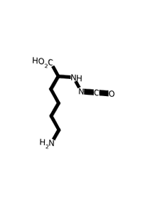 NCCCCC(NN=C=O)C(=O)O